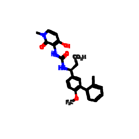 Cc1ccccc1-c1cc([C@H](CC(=O)O)NC(=O)Nc2c(O)ccn(C)c2=O)ccc1OC(F)(F)F